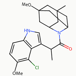 COc1ccc2[nH]cc(C(C)C(=O)N3C4CC5(C)CC3CC(OC)(C4)C5)c2c1Cl